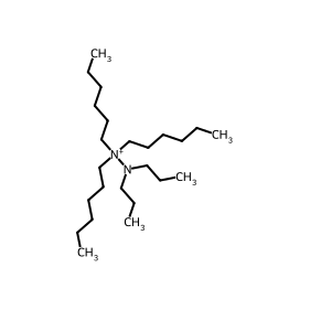 CCCCCC[N+](CCCCCC)(CCCCCC)N(CCC)CCC